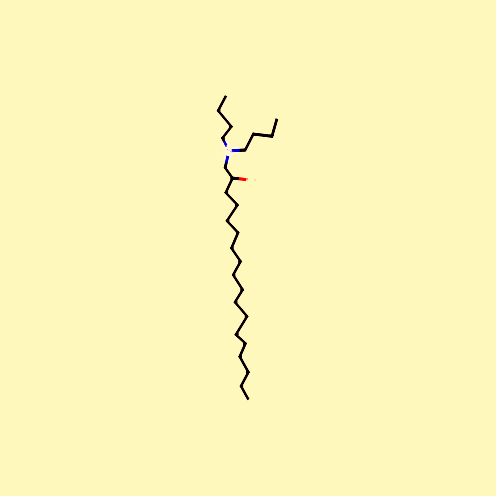 CCCCCCCCCCCCCCCCC(O)CN(CCCC)CCCC